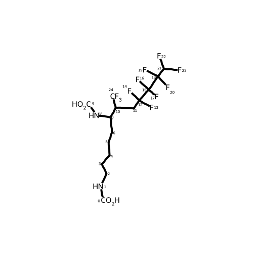 O=C(O)NCCCCCC(NC(=O)O)C(CC(F)(F)C(F)(F)C(F)(F)C(F)F)C(F)(F)F